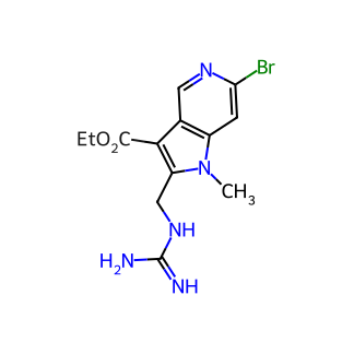 CCOC(=O)c1c(CNC(=N)N)n(C)c2cc(Br)ncc12